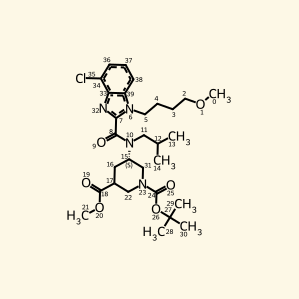 COCCCCn1c(C(=O)N(CC(C)C)[C@H]2CC(C(=O)OC)CN(C(=O)OC(C)(C)C)C2)nc2c(Cl)cccc21